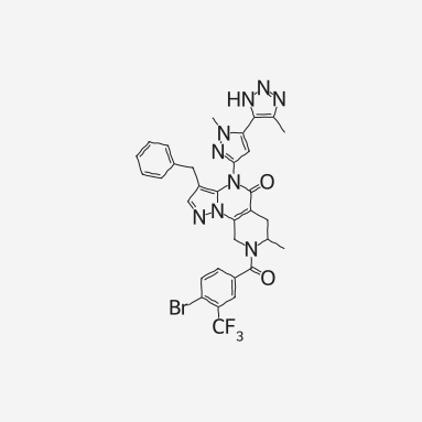 Cc1nn[nH]c1-c1cc(-n2c(=O)c3c(n4ncc(Cc5ccccc5)c24)CN(C(=O)c2ccc(Br)c(C(F)(F)F)c2)C(C)C3)nn1C